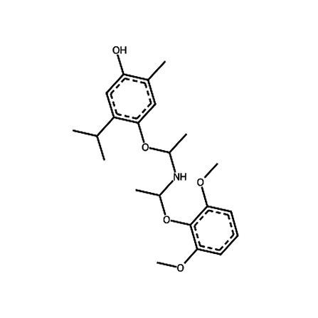 COc1cccc(OC)c1OC(C)NC(C)Oc1cc(C)c(O)cc1C(C)C